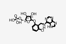 O=P(O)(O)OC[C@H]1OC(Oc2cccc(Cl)c2CNc2ncnc3nc[nH]c23)[C@H](O)[C@@H]1O